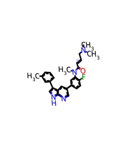 Cc1cccc(-c2c[nH]c3ncc(-c4ccc(F)c(N(C)C(=O)/C=C/CN(C)C)c4)cc23)c1